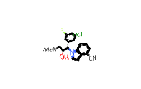 CNC[C@@H](O)[C@H](c1cccc(F)c1)n1ccc2c(C#N)cccc21.Cl